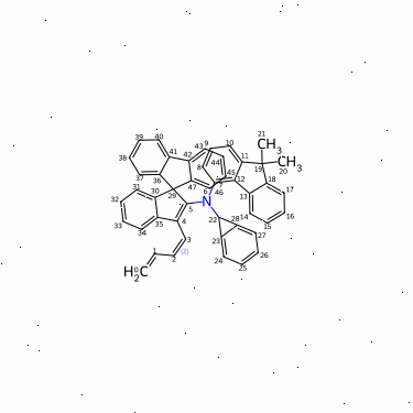 C=C/C=C\C1=C(N(c2cccc3c2-c2ccccc2C3(C)C)C2c3ccccc32)C2(c3ccccc31)c1ccccc1-c1ccccc12